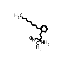 CCCCCCCCc1ccccc1CCC(C)(N)CN=O